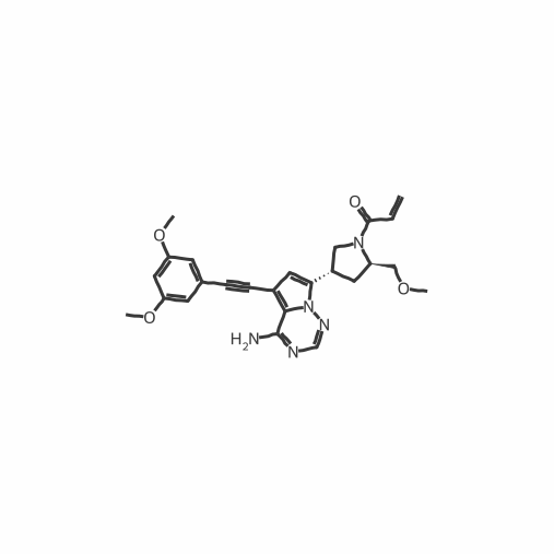 C=CC(=O)N1C[C@@H](c2cc(C#Cc3cc(OC)cc(OC)c3)c3c(N)ncnn23)C[C@@H]1COC